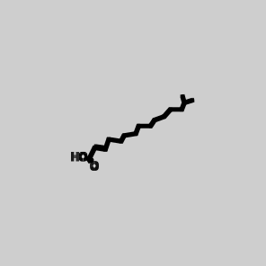 CC(C)CCCCCCCCCCC=CC(=O)O